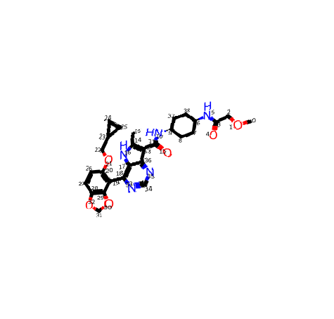 COCC(=O)N[C@H]1CC[C@H](NC(=O)c2c(C)[nH]c3c(-c4c(OCC5CC5)ccc5c4OCO5)ncnc23)CC1